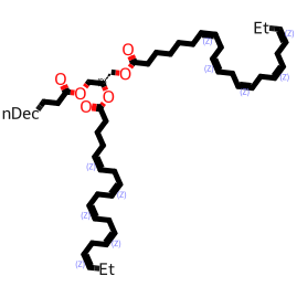 CC/C=C\C/C=C\C/C=C\C/C=C\C/C=C\CCCCCC(=O)OC[C@@H](COC(=O)CCCCCCCCCCCC)OC(=O)CCC/C=C\C/C=C\C/C=C\C/C=C\C/C=C\CC